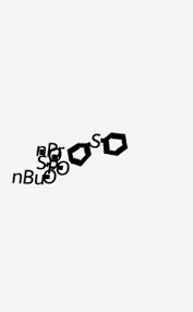 CCCCOP(=O)(Oc1ccc(Sc2ccccc2)cc1)SCCC